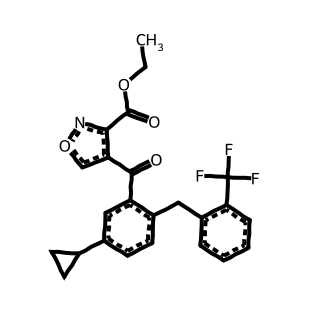 CCOC(=O)c1nocc1C(=O)c1cc(C2CC2)ccc1Cc1ccccc1C(F)(F)F